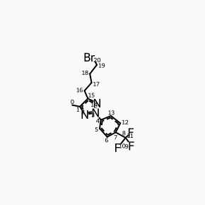 Cc1nn(-c2ccc(C(F)(F)F)cc2)nc1CCCCBr